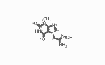 Cn1c(=O)[nH]c(=O)c2c1ncn2CC(N)=NO